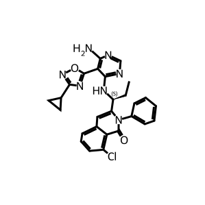 CC[C@H](Nc1ncnc(N)c1-c1nc(C2CC2)no1)c1cc2cccc(Cl)c2c(=O)n1-c1ccccc1